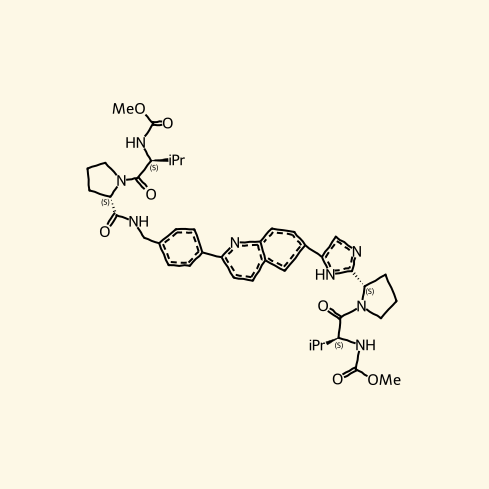 COC(=O)N[C@H](C(=O)N1CCC[C@H]1C(=O)NCc1ccc(-c2ccc3cc(-c4cnc([C@@H]5CCCN5C(=O)[C@@H](NC(=O)OC)C(C)C)[nH]4)ccc3n2)cc1)C(C)C